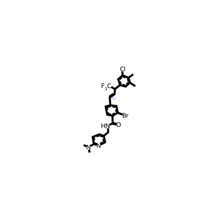 Cc1cc(C(/C=C/c2ccc(C(=O)NCc3ccc(N(C)C)nc3)c(Br)c2)C(F)(F)F)cc(Cl)c1C